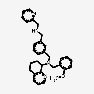 COc1ccccc1CN(Cc1cccc(CNCc2ccccn2)c1)C1CCCc2cccnc21